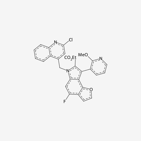 CCOC(=O)c1c(-c2cccnc2OC)c2c3occc3c(F)cc2n1Cc1cc(Cl)nc2ccccc12